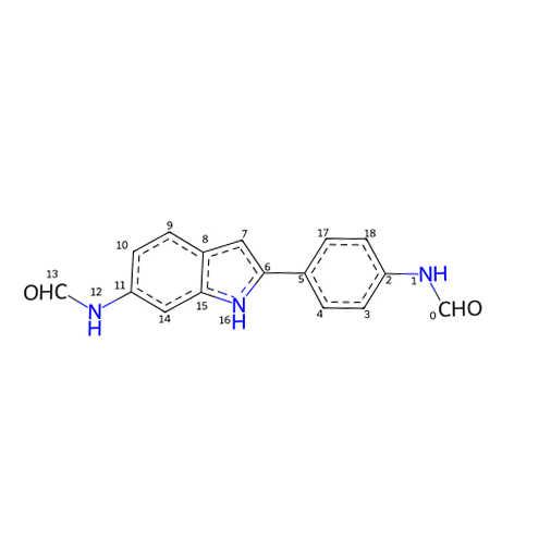 O=CNc1ccc(-c2cc3ccc(NC=O)cc3[nH]2)cc1